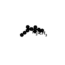 CC1(C)c2ccccc2-c2ccc(-c3c4ccccc4c(-c4ccc(-n5c6ccccc6c6cc(-c7ccc(-c8ccccc8)cc7)ccc65)cc4)c4ccccc34)cc21